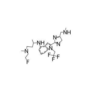 CNCC1=NC(c2cc3c(NC(C)CCN(C)CCF)cccc3n2CC(F)(F)F)=NC1